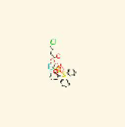 O=C(CCCCl)OCC(F)(F)S(=O)(=O)OS(c1ccccc1)(c1ccccc1)c1ccccc1